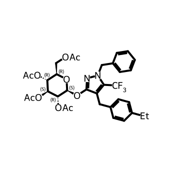 CCc1ccc(Cc2c(O[C@@H]3O[C@H](COC(C)=O)[C@@H](OC(C)=O)[C@H](OC(C)=O)[C@H]3OC(C)=O)nn(Cc3ccccc3)c2C(F)(F)F)cc1